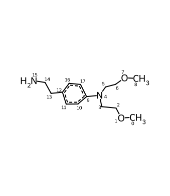 COCCN(CCOC)c1ccc(CCN)cc1